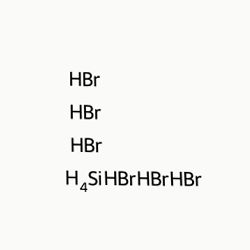 Br.Br.Br.Br.Br.Br.[SiH4]